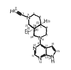 C#CN1CC[C@H]2CCN(c3ncnc4[nH]ccc34)C[C@@]2(CC)C1